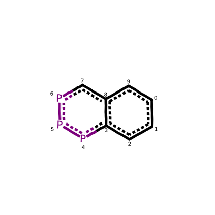 c1ccc2pppcc2c1